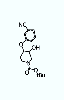 CC(C)(C)OC(=O)N1CCC(Oc2cccc(C#N)c2)C(O)C1